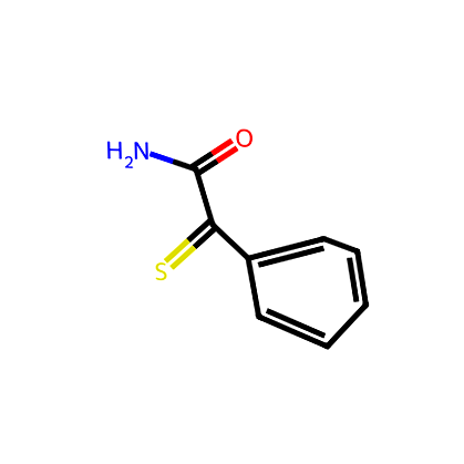 NC(=O)C(=S)c1ccccc1